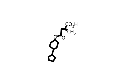 C=C(CC(=O)OC1CCC(C2CCCC2)CC1)C(=O)O